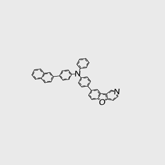 c1ccc(N(c2ccc(-c3ccc4ccccc4c3)cc2)c2ccc(-c3ccc4oc5ccncc5c4c3)cc2)cc1